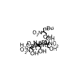 CCCC(CO)(CO)[N+](=O)[O-].CCCCC(CC)(CO)[N+](=O)[O-].CCCCC(CO)[N+](=O)[O-].CCCCCC(C)(CO)[N+](=O)[O-]